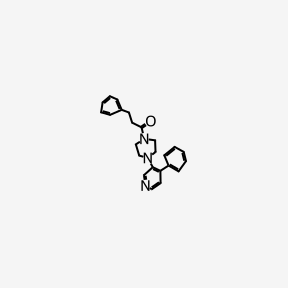 O=C(CCc1ccccc1)N1CCN(c2cnccc2-c2ccccc2)CC1